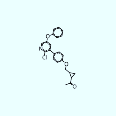 CC(=O)C1CC1COc1ccc(-c2cc(Oc3ccccc3)cnc2Cl)cc1